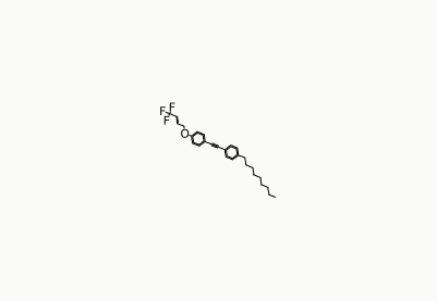 CCCCCCCCCc1ccc(C#Cc2ccc(OCC=CC(F)(F)F)cc2)cc1